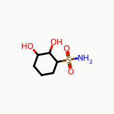 NS(=O)(=O)C1CCCC(O)C1O